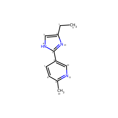 CCc1c[nH]c(-c2ccc(C)nc2)n1